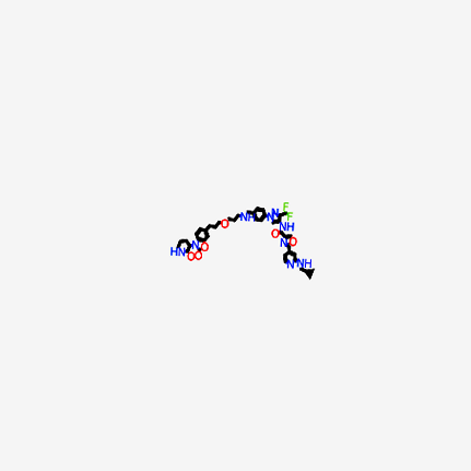 O=C(Nc1cn(-c2ccc(CNCCCOCCCc3ccc4c(c3)oc(=O)n4C3CCCNC3=O)cc2)nc1C(F)F)c1coc(-c2ccnc(NCC3CC3)c2)n1